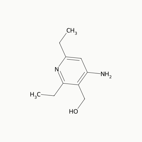 CCc1cc(N)c(CO)c(CC)n1